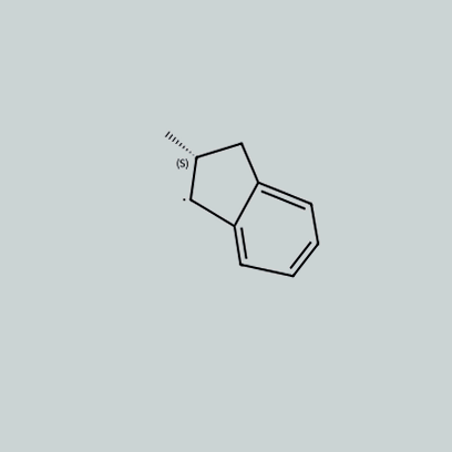 C[C@H]1[CH]c2ccccc2C1